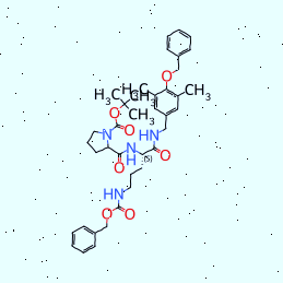 Cc1cc(CNC(=O)[C@H](CCCNC(=O)OCc2ccccc2)NC(=O)C2CCCN2C(=O)OC(C)(C)C)cc(C)c1OCc1ccccc1